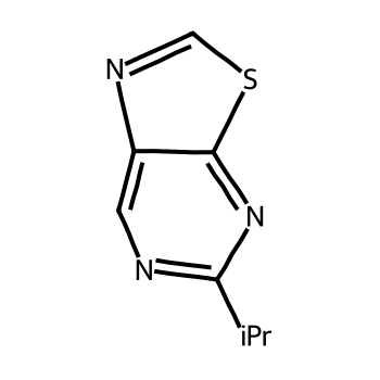 CC(C)c1ncc2ncsc2n1